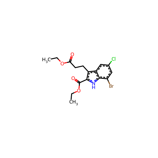 CCOC(=O)CCc1c(C(=O)OCC)[nH]c2c(Br)cc(Cl)cc12